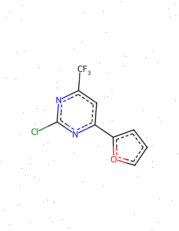 FC(F)(F)c1cc(-c2ccco2)nc(Cl)n1